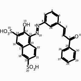 O=C(C=Cc1cccc(N=Nc2c(O)c(S(=O)(=O)O)cc3cc(S(=O)(=O)O)ccc23)c1)c1ccccc1